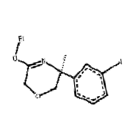 CCOC1=N[C@@](C)(c2cccc(I)c2)COC1